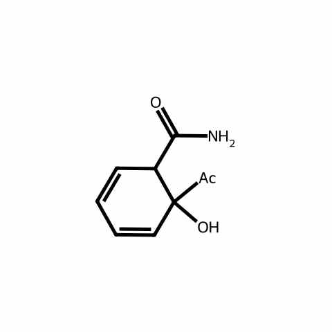 CC(=O)C1(O)C=CC=CC1C(N)=O